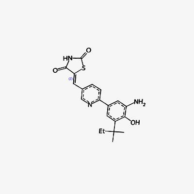 CCC(C)(C)c1cc(-c2ccc(/C=C3\SC(=O)NC3=O)cn2)cc(N)c1O